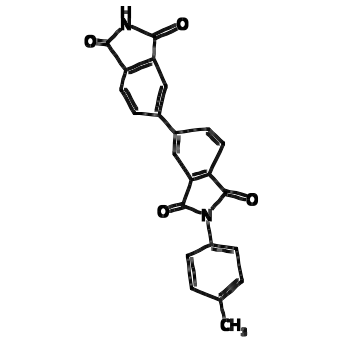 Cc1ccc(N2C(=O)c3ccc(-c4ccc5c(c4)C(=O)NC5=O)cc3C2=O)cc1